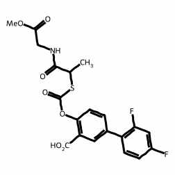 COC(=O)CNC(=O)C(C)SC(=O)Oc1ccc(-c2ccc(F)cc2F)cc1C(=O)O